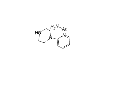 CC(N)=O.c1ccc(N2CCNCC2)nc1